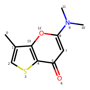 Cc1csc2c(=O)cc(N(C)C)oc12